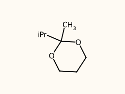 CC(C)C1(C)OCCCO1